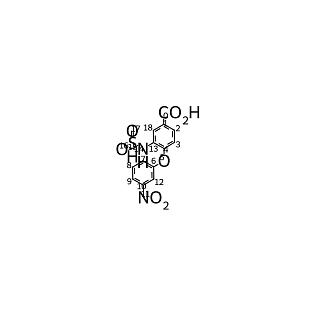 O=C(O)c1ccc(Oc2cccc([N+](=O)[O-])c2)c(N[SH](=O)=O)c1